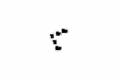 [Ba].[Ba].[Sr].[Ti].[Ti]